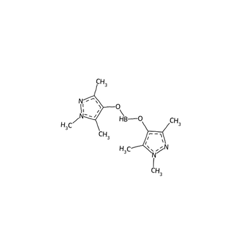 Cc1nn(C)c(C)c1OBOc1c(C)nn(C)c1C